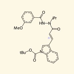 COc1cccc(C(=O)NN(C(=O)/C=C/c2cn(C(=O)OC(C)(C)C)c3ccccc23)C(C)C)c1